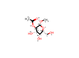 CO[C@@H]1O[C@H](CO)[C@H](O)[C@H](O)[C@H]1OC(C)=O